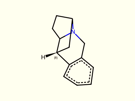 c1ccc2c(c1)CN1C3CCC1[C@@H]2C3